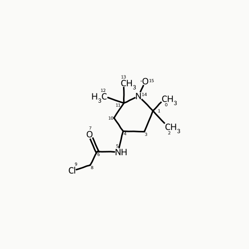 CC1(C)CC(NC(=O)CCl)CC(C)(C)N1[O]